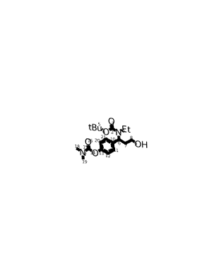 CCN(C(=O)OC(C)(C)C)C(CCO)c1ccc(OC(=O)N(C)C)cc1